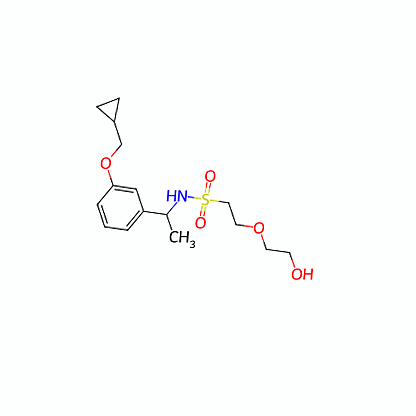 CC(NS(=O)(=O)CCOCCO)c1cccc(OCC2CC2)c1